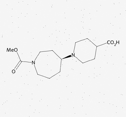 COC(=O)N1CCC[C@H](N2CCC(C(=O)O)CC2)CC1